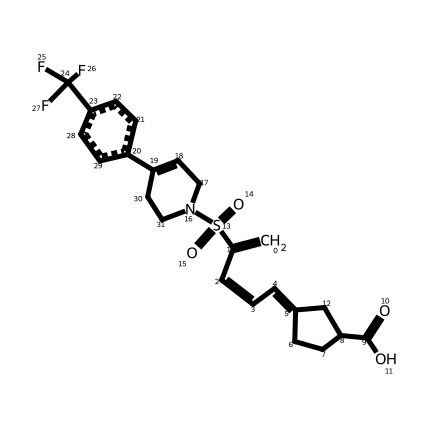 C=C(/C=C\C=C1/CCC(C(=O)O)C1)S(=O)(=O)N1CC=C(c2ccc(C(F)(F)F)cc2)CC1